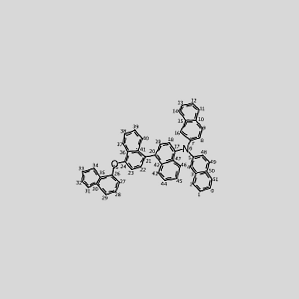 c1ccc2cc(N(c3ccc4ccccc4c3)c3ccc(-c4ccc(Oc5cccc6ccccc56)c5ccccc45)c4ccccc34)ccc2c1